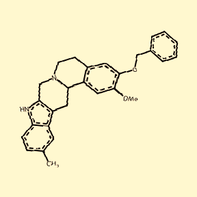 COc1cc2c(cc1OCc1ccccc1)CCN1Cc3[nH]c4ccc(C)cc4c3CC21